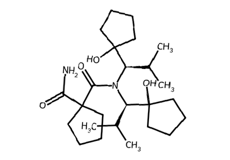 CC(C)[C@@H](N(C(=O)C1(C(N)=O)CCCC1)[C@H](C(C)C)C1(O)CCCC1)C1(O)CCCC1